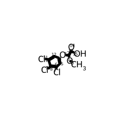 COC(Oc1cc(Cl)c(Cl)c(Cl)c1)C(=O)O